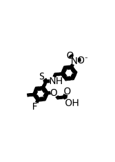 Cc1cc(C(=S)NCc2cccc([N+](=O)[O-])c2)c(OCC(=O)O)cc1F